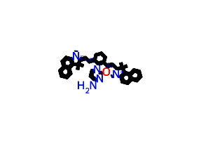 CN1/C(=C/C=C2\CCCC(/C=C/C3=[N+](C)c4ccc5ccccc5c4C3(C)C)=C2n2ccc(N)nc2=O)C(C)(C)c2c1ccc1ccccc21